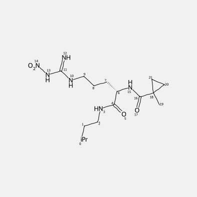 CC(C)C[CH]NC(=O)[C@H](CCCNC(=N)N[N+](=O)[O-])NC(=O)C1(C)CC1